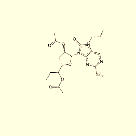 CCCn1c(=O)n([C@@H]2O[C@H]([C@H](CC)OC(C)=O)C[C@H]2OC(C)=O)c2nc(N)ncc21